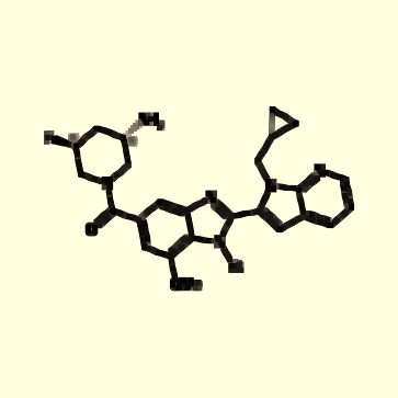 CCn1c(-c2cc3cccnc3n2CC2CC2)nc2cc(C(=O)N3C[C@@H](N)C[C@H](F)C3)cc(OC)c21